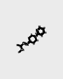 COC(C)ON=C1CCN(c2cc[c]cn2)CC1